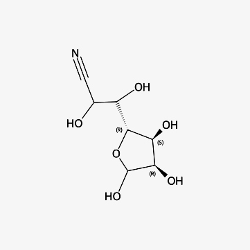 N#CC(O)C(O)[C@H]1OC(O)[C@H](O)[C@@H]1O